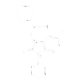 CC(Cn1c(=O)n(-c2ccccc2)c2ncc(Br)cc21)C1CCOCC1